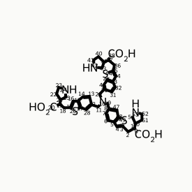 O=C(O)C(Cc1cc2ccc(CN(Cc3ccc4cc(CC(C(=O)O)C5CCNC5)sc4c3)Cc3ccc4cc(CC(C(=O)O)C5CCNC5)sc4c3)cc2s1)C1CCNC1